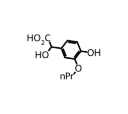 CCCOc1cc(C(O)C(=O)O)ccc1O